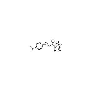 CC(C)c1ccc(OCC(=O)NS(C)(=O)=O)cc1